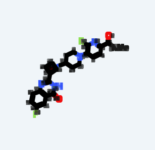 CNC(=O)c1ccc(N2CCC(N3CC4(c5nc6ccc(F)cc6c(=O)[nH]5)CC3C4)CC2)c(F)n1